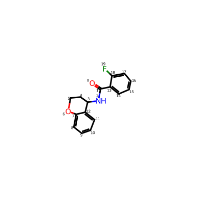 O=C(NC1CCOc2ccccc21)c1ccccc1F